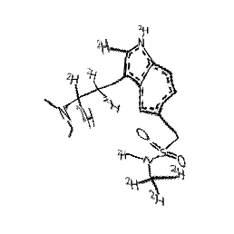 [2H]c1c(C([2H])([2H])C([2H])([2H])N(C)C)c2cc(CS(=O)(=O)N([2H])C([2H])([2H])[2H])ccc2n1[2H]